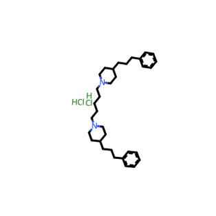 Cl.Cl.c1ccc(CCCC2CCN(CCCCCN3CCC(CCCc4ccccc4)CC3)CC2)cc1